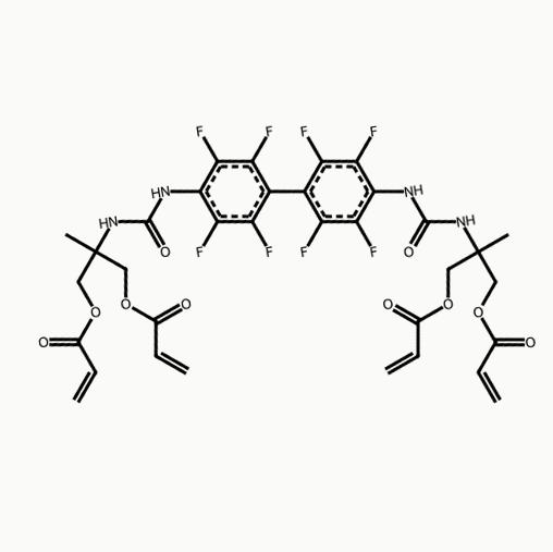 C=CC(=O)OCC(C)(COC(=O)C=C)NC(=O)Nc1c(F)c(F)c(-c2c(F)c(F)c(NC(=O)NC(C)(COC(=O)C=C)COC(=O)C=C)c(F)c2F)c(F)c1F